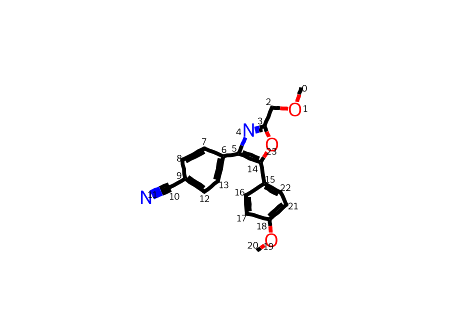 COCc1nc(-c2ccc(C#N)cc2)c(-c2ccc(OC)cc2)o1